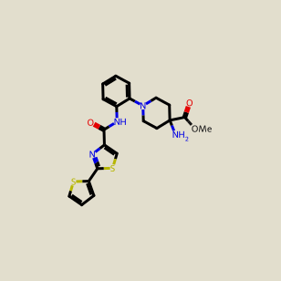 COC(=O)C1(N)CCN(c2ccccc2NC(=O)c2csc(-c3cccs3)n2)CC1